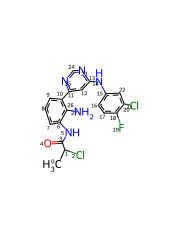 CC(Cl)C(=O)Nc1cccc(-c2cc(Nc3ccc(F)c(Cl)c3)ncn2)c1N